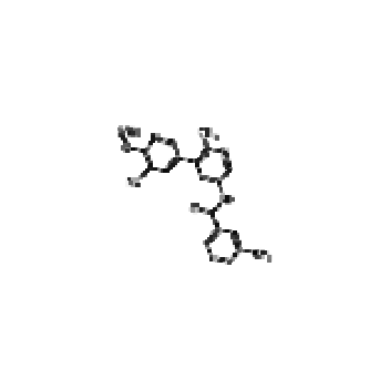 CSOc1ncc(-c2cc(NC(=O)c3cccc(C(F)(F)F)c3)cnc2C)cc1C#N